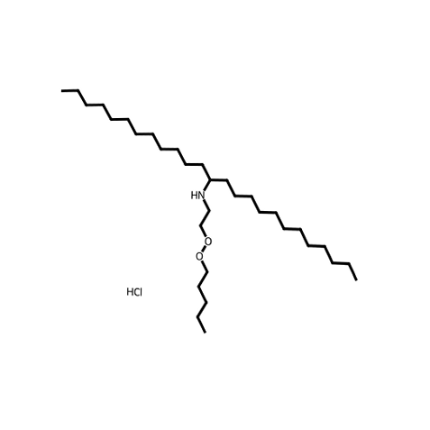 CCCCCCCCCCCCC(CCCCCCCCCCCC)NCCOOCCCCC.Cl